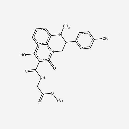 CN1c2cccc3c(O)c(C(=O)NCC(=O)OC(C)(C)C)c(=O)n(c23)CC1c1ccc(C(F)(F)F)cc1